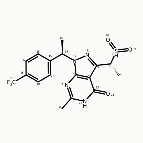 Cc1nc2c(c([C@@H](C)[SH](=O)=O)nn2[C@H](C)c2ccc(C(F)(F)F)cc2)c(=O)[nH]1